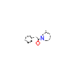 O=C(Cc1ccccc1)N1C[CH]CCCC1